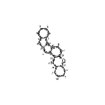 c1ccc2c(c1)cn1cc3c(ccc4oc5ccccc5nc43)c21